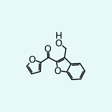 O=C(c1ccco1)c1oc2ccccc2c1CO